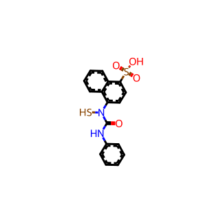 O=C(Nc1ccccc1)N(S)c1ccc(S(=O)(=O)O)c2ccccc12